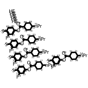 CCCC1CCC(C(=O)Oc2ccc([S])c(F)c2)CC1.CCCC1CCC(C(=O)Oc2ccc([S])c(F)c2)CC1.CCCC1CCC(C(=O)Oc2ccc([S])c(F)c2)CC1.CCCC1CCC(C(=O)Oc2ccc([S])c(F)c2)CC1.CCCC1CCC(C(=O)Oc2ccc([S])c(F)c2)CC1.F.F.F.F.F